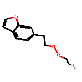 CCOOCCc1ccc2ccoc2c1